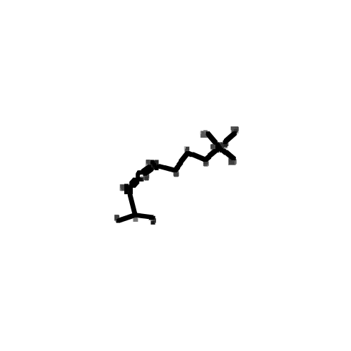 CC(C)N=C=NCCC[N+](C)(C)C